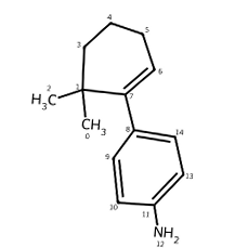 CC1(C)CCCC=C1c1ccc(N)cc1